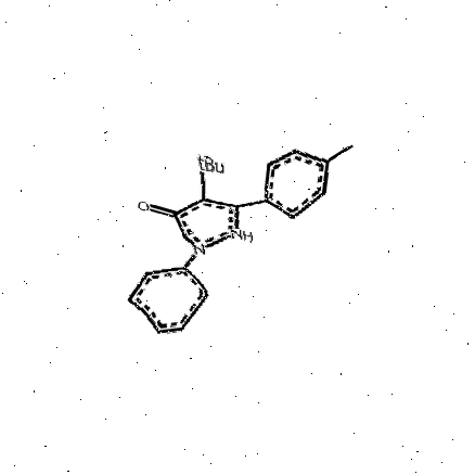 Cc1ccc(-c2[nH]n(-c3ccccc3)c(=O)c2C(C)(C)C)cc1